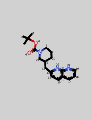 CC(C)(C)OC(=O)N1CCCC(Cc2ccc3cccnc3n2)C1